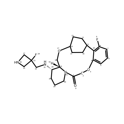 O=C1COc2cccc(F)c2C2CCC(CC2)OC[C@H]2[C@@H](NCC3(F)CNC3)CCCN12